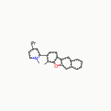 Cc1c(-c2cc(C(C)C)cc[n+]2C)ccc2c1oc1cc3ccccc3cc12